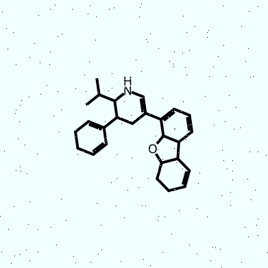 CC(C)C1NC=C(C2=CC=CC3C2OC2CCC=CC23)CC1C1=CCCC=C1